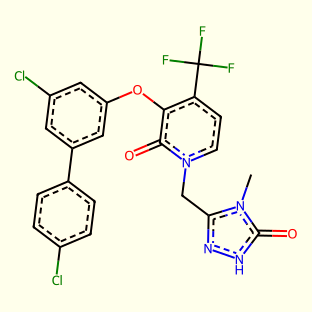 Cn1c(Cn2ccc(C(F)(F)F)c(Oc3cc(Cl)cc(-c4ccc(Cl)cc4)c3)c2=O)n[nH]c1=O